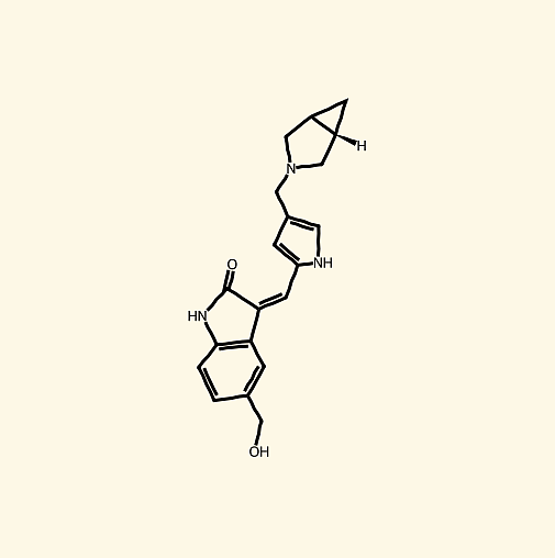 O=C1Nc2ccc(CO)cc2C1=Cc1cc(CN2CC3C[C@@H]3C2)c[nH]1